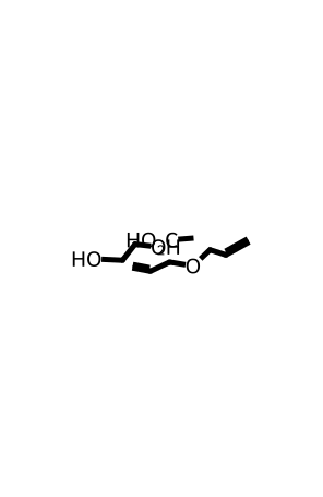 C=CCOCC=C.CC(=O)O.OCCO